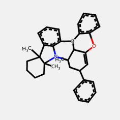 CC12CC(c3ccccc3)C=C3Oc4ccccc4B(c4cccc5c4N1C1(C)CCCCC51C)C32